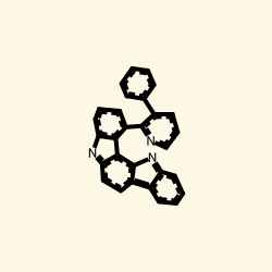 c1ccc(-c2cccnc2-c2cccc3c2-c2c4c(ccc2=N3)=c2ccccc2=N4)cc1